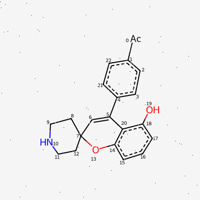 CC(=O)c1ccc(C2=CC3(CCNCC3)Oc3cccc(O)c32)cc1